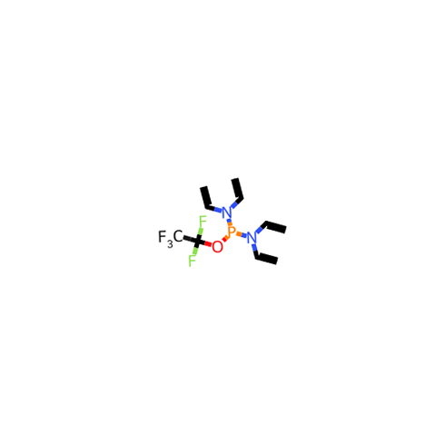 C=CN(C=C)P(OC(F)(F)C(F)(F)F)N(C=C)C=C